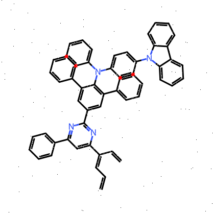 C=C/C=C(\C=C)c1cc(-c2ccccc2)nc(-c2cc(-c3ccccc3)c(N(c3ccccc3)c3ccc(-n4c5ccccc5c5ccccc54)cc3)c(-c3ccccc3)c2)n1